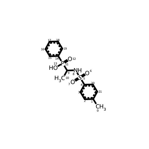 Cc1ccc(S(=O)(=O)NC(C)P(=O)(O)c2ccccc2)cc1